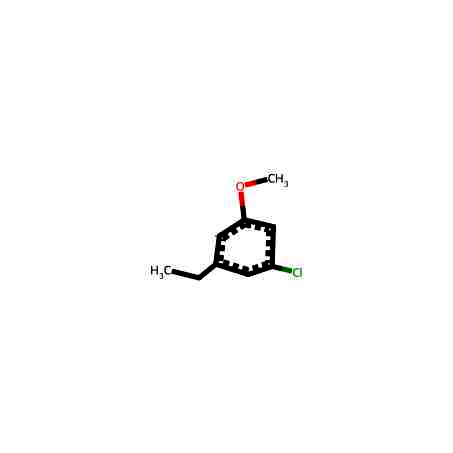 CCc1[c]c(OC)cc(Cl)c1